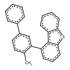 Cc1ccc(-c2ccccc2)cc1-c1cccc2sc3ccccc3c12